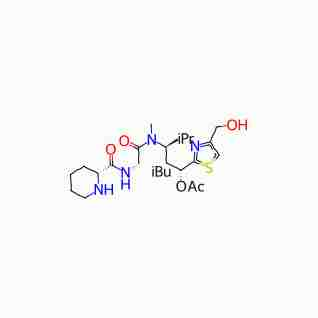 CC[C@H](C)[C@H](NC(=O)[C@H]1CCCCN1)C(=O)N(C)[C@H](C[C@@H](OC(C)=O)c1nc(CO)cs1)C(C)C